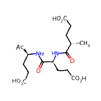 CC(=O)[C@H](CCC(=O)O)NC(=O)[C@H](CCC(=O)O)NC(=O)[C@@H](C)CCC(=O)O